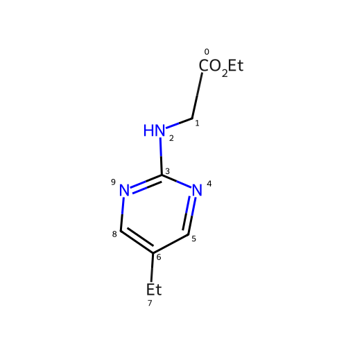 CCOC(=O)CNc1ncc(CC)cn1